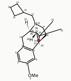 COc1ccc2c(c1)[C@]13CCN(CC4CCC4)[C@H](C2)[C@@H]1CC(C)(C)OC3